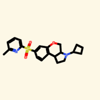 Cc1cccc(S(=O)(=O)c2ccc3c(c2)OCC2C3CCN2C2CCC2)n1